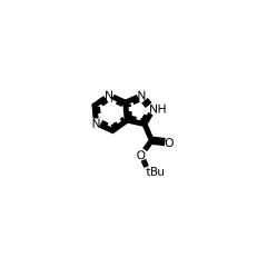 CC(C)(C)OC(=O)c1[nH]nc2ncncc12